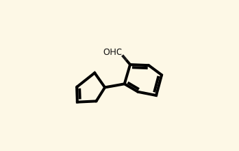 O=Cc1ccccc1C1CC=CC1